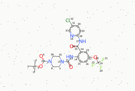 CC(C)(C)OC(=O)N1CCN(C(=O)Nc2ccc(OC(F)(F)F)cc2C(=O)Nc2ccc(Cl)cn2)CC1